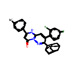 N#Cc1ccc(C2=CC(=O)N3N=C(C4C5CC6CC(C5)CC4C6)C(c4ccc(F)cc4F)=CC3N2)cc1